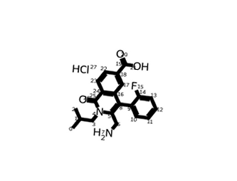 CC(C)Cn1c(CN)c(-c2ccccc2F)c2cc(C(=O)O)ccc2c1=O.Cl